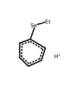 [CH2]C[Se]c1ccccc1.[H+]